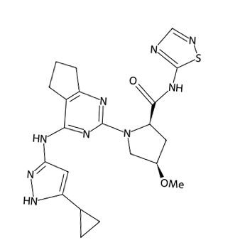 CO[C@@H]1C[C@H](C(=O)Nc2ncns2)N(c2nc3c(c(Nc4cc(C5CC5)[nH]n4)n2)CCC3)C1